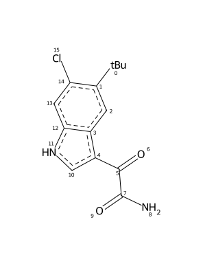 CC(C)(C)c1cc2c(C(=O)C(N)=O)c[nH]c2cc1Cl